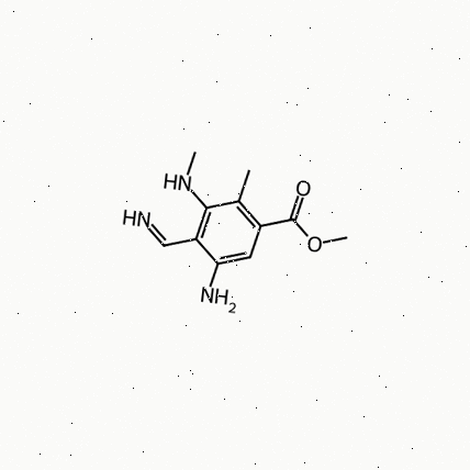 CNc1c(C)c(C(=O)OC)cc(N)c1C=N